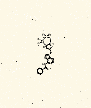 CC(C)[Si]1(C(C)C)OC[C@H]2O[C@@H](Cn3cnc4c(NC(=O)c5ccccc5)ncnc43)C[C@@H]2O[Si](C(C)C)(C(C)C)O1